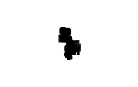 COc1cc2nccc(Oc3ccc(NC(=O)NC4CCCC(C)(C)C4)c(Cl)c3)c2cc1OC